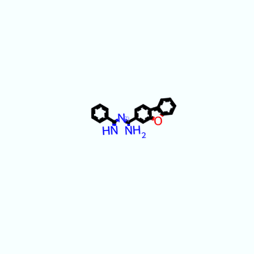 N=C(/N=C(\N)c1ccc2c(c1)oc1ccccc12)c1ccccc1